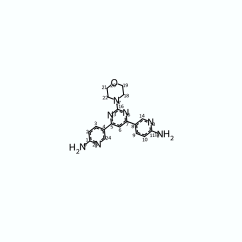 Nc1ccc(-c2cc(-c3ccc(N)nc3)nc(N3CCOCC3)n2)cn1